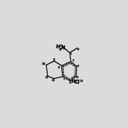 CC(N)c1cccc2c1CCCC2.Cl